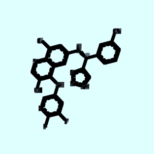 N#Cc1cccc([C@H](Nc2cc(Cl)c3ncc(C#N)c(Nc4cnc(F)c(F)c4)c3c2)c2c[nH]nn2)c1